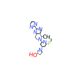 CC1c2cnc(-c3ncccn3)nc2CCN1c1cc(N2CCC(O)C2)cc(F)n1